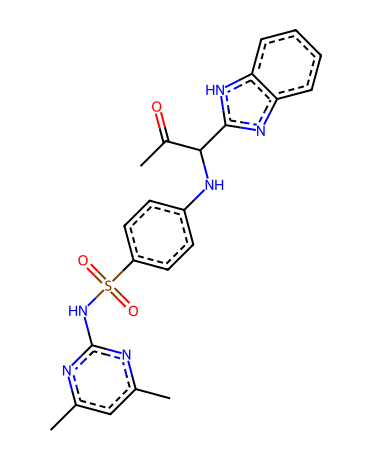 CC(=O)C(Nc1ccc(S(=O)(=O)Nc2nc(C)cc(C)n2)cc1)c1nc2ccccc2[nH]1